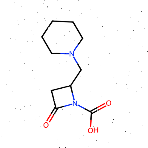 O=C(O)N1C(=O)CC1CN1CCCCC1